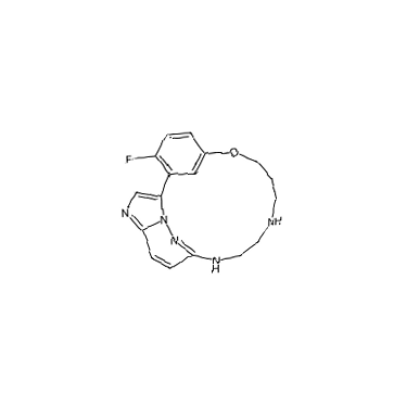 Fc1ccc2cc1-c1cnc3ccc(nn13)NCCNCCCO2